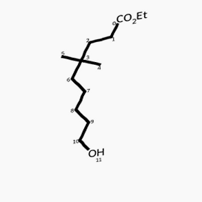 CCOC(=O)CCC(C)(C)CCCCCO